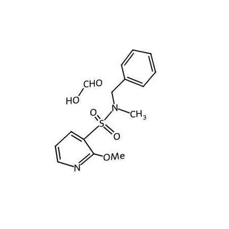 COc1ncccc1S(=O)(=O)N(C)Cc1ccccc1.O=CO